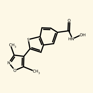 Cc1noc(C)c1-c1cc2cc(C(=O)NO)ccc2s1